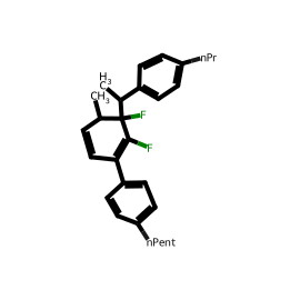 CCCCCc1ccc(C2=C(F)C(F)(C(C)c3ccc(CCC)cc3)C(C)C=C2)cc1